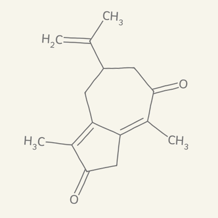 C=C(C)C1CC(=O)C(C)=C2CC(=O)C(C)=C2C1